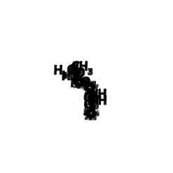 CN(C)C(=O)Nc1cc(Oc2ccc(NC(=O)NC(=O)Cc3ccccc3)cc2)ccn1